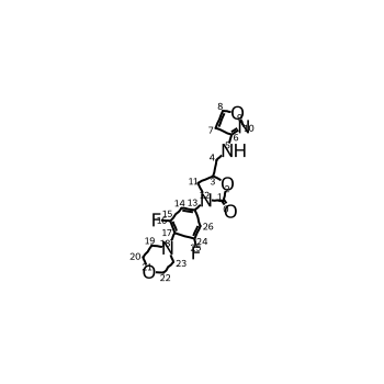 O=C1OC(CNc2ccon2)CN1c1cc(F)c(N2CCOCC2)c(F)c1